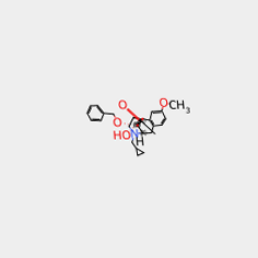 COc1ccc2c(c1)[C@]13CCN(CC4CC4)[C@H](C2)C1[C@@H](O)[C@H](OCc1ccccc1)C(=O)C3